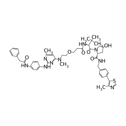 Cc1cc(N(C)CCOCCC(=O)N[C@H](C(=O)N2C[C@@H](O)C[C@H]2C(=O)NCc2ccc(-c3scnc3C)cc2)C(C)(C)C)nc(Nc2ccc(NC(=O)Cc3ccccc3)cc2)n1